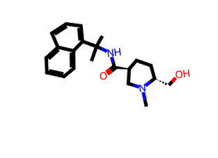 CN1C[C@@H](C(=O)NC(C)(C)c2cccc3ccccc23)CC[C@@H]1CO